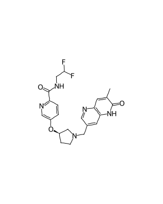 Cc1cc2ncc(CN3CC[C@@H](Oc4ccc(C(=O)NCC(F)F)nc4)C3)cc2[nH]c1=O